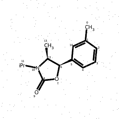 Cc1cccc([C@H]2OC(=O)N(C(C)C)[C@H]2C)c1